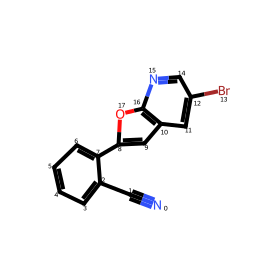 N#Cc1ccccc1-c1cc2cc(Br)cnc2o1